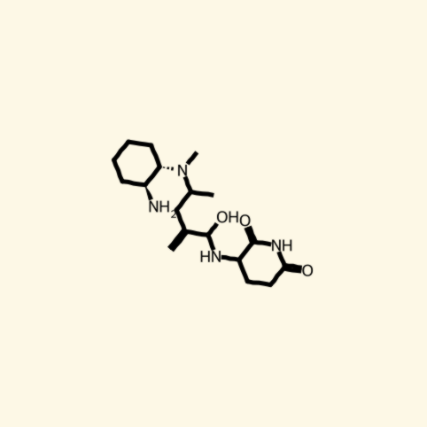 C=C(CC(C)N(C)[C@H]1CCCC[C@@H]1N)C(O)NC1CCC(=O)NC1=O